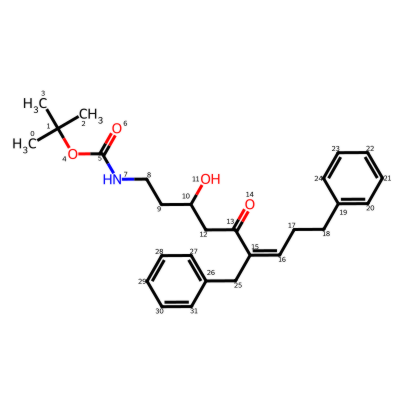 CC(C)(C)OC(=O)NCCC(O)CC(=O)C(=CCCc1ccccc1)Cc1ccccc1